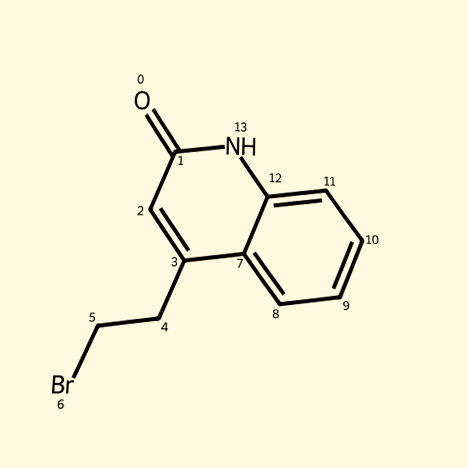 O=c1cc(CCBr)c2ccccc2[nH]1